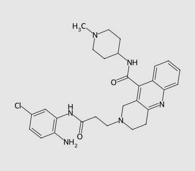 CN1CCC(NC(=O)c2c3c(nc4ccccc24)CCN(CCC(=O)Nc2cc(Cl)ccc2N)C3)CC1